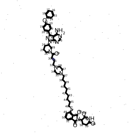 Nc1ncnc2c1c(-c1ccc(Oc3ccccc3)cc1)nn2C1CCCN(C(=O)/C=C/CN2CCN(CCCCCCCCCCSc3cccc4c3C(=O)N(C3CCC(=O)NC3=O)C4=O)CC2)C1